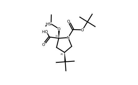 C[SiH](C)O[C@]1(C(=O)O)C[C@H](C(C)(C)C)CN1C(=O)OC(C)(C)C